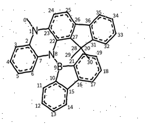 CN1c2ccccc2N(B2c3ccccc3-c3ccccc32)c2c1ccc1c2C(C)(C)c2ccccc2-1